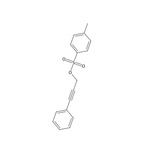 Cc1ccc(S(=O)(=O)OCC#Cc2ccccc2)cc1